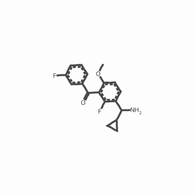 COc1ccc(C(N)C2CC2)c(F)c1C(=O)c1cccc(F)c1